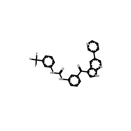 O=C(Nc1cccc(C(=O)c2c[nH]c3ncc(-c4cccnc4)cc23)c1)Nc1cccc(C(F)(F)F)c1